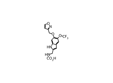 O=C(O)NCc1cc2cc(OC(F)(F)F)c(OCc3ccon3)cc2[nH]1